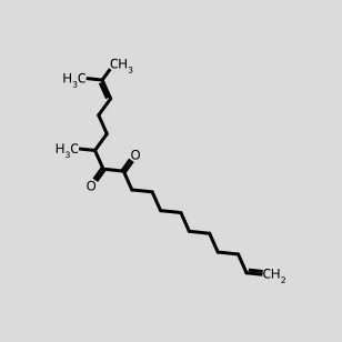 C=CCCCCCCCCC(=O)C(=O)C(C)CCC=C(C)C